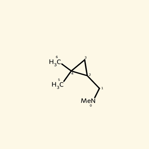 CNCC1CC1(C)C